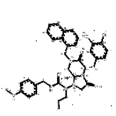 CCCN(C(=O)NCc1ccc(OC)cc1)N1CC(=O)N2[C@@H](Cc3ccc(O)c(O)c3)C(=O)N(Cc3cccc4ccccc34)C[C@@H]21